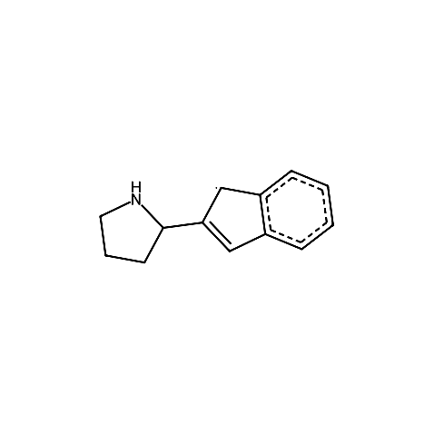 [CH]1C(C2CCCN2)=Cc2ccccc21